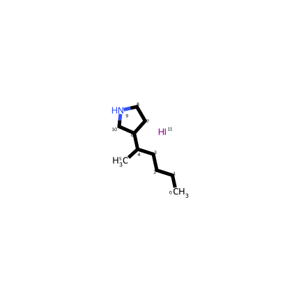 CCCCC(C)C1CCNC1.I